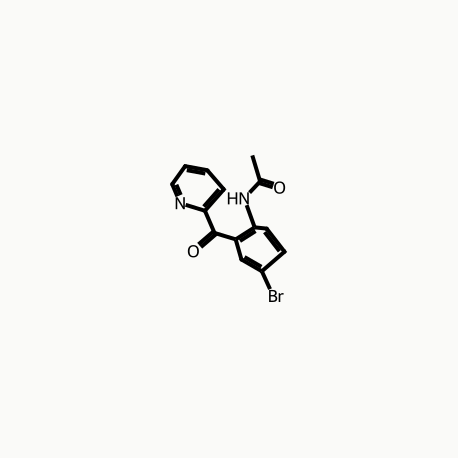 CC(=O)Nc1ccc(Br)cc1C(=O)c1ccccn1